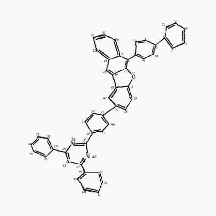 c1ccc(-c2ccc(-c3c4ccccc4cc4c3oc3ccc(-c5ccc(-c6nc(-c7ccccc7)nc(-c7ccccc7)n6)cc5)cc34)cc2)cc1